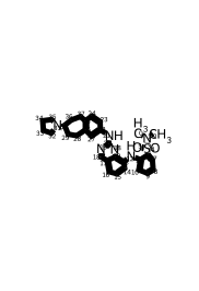 CN(C)S(=O)(=O)c1ccccc1Nc1cccc2cnc(Nc3ccc4c(c3)CC[C@@H](N3CCCC3)CC4)nc12